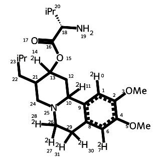 [2H]c1c(OC)c(OC)c([2H])c2c1C1([2H])CC([2H])(OC(=O)[C@@H](N)C(C)C)C(CC(C)C)CN1C([2H])([2H])C2([2H])[2H]